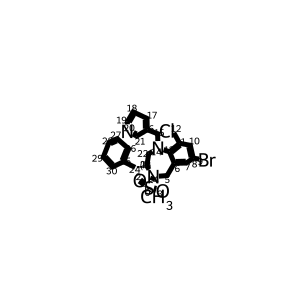 CS(=O)(=O)N1Cc2cc(Br)cc(Cl)c2N(Cc2cccnc2)C[C@H]1Cc1ccccc1